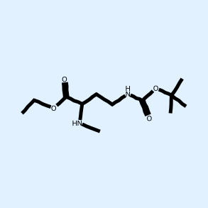 CCOC(=O)C(CCNC(=O)OC(C)(C)C)NC